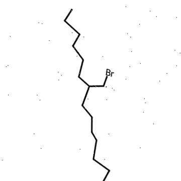 CCCCCCCCC([CH]Br)CCCCCC